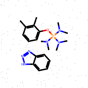 Cc1cccc(O[P+](N(C)C)(N(C)C)N(C)C)c1C.c1ccc2[nH]nnc2c1